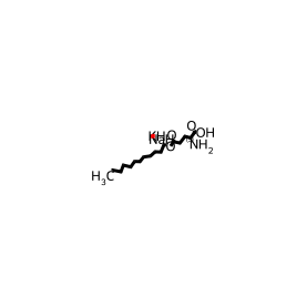 CCCCCCCCCCCCOC(=O)CC[C@H](N)C(=O)O.[KH].[NaH]